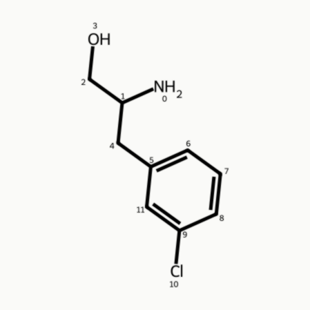 NC(CO)Cc1cccc(Cl)c1